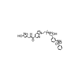 CC(C)(CCn1ccc2cc(C(=O)NCc3cc(O)no3)cnc21)NC[C@H](O)c1cccc(NS(=O)(=O)c2ccccc2)c1